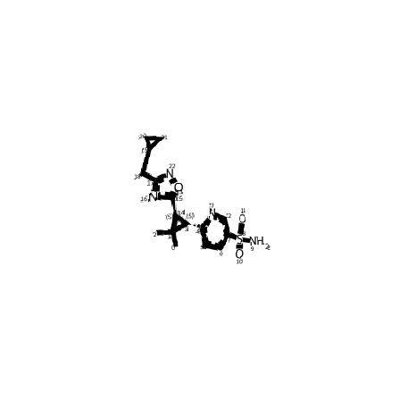 CC1(C)[C@@H](c2ccc(S(N)(=O)=O)cn2)[C@@H]1c1nc(CC2CC2)no1